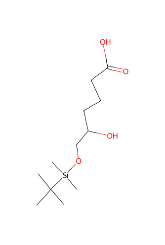 CC(C)(C)[Si](C)(C)OCC(O)CCCC(=O)O